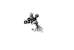 C=Cc1cc2c(N3CCC4(CC3)CN(C(=O)OC(C)(C)C)C4)nc(C3CCOCC3)nc2c(OCC(F)(F)F)c1-c1c(C)ccc2c1cnn2C1CCCCO1